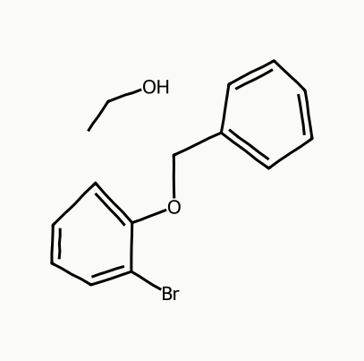 Brc1ccccc1OCc1ccccc1.CCO